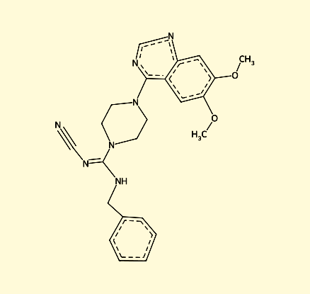 COc1cc2ncnc(N3CCN(/C(=N\C#N)NCc4ccccc4)CC3)c2cc1OC